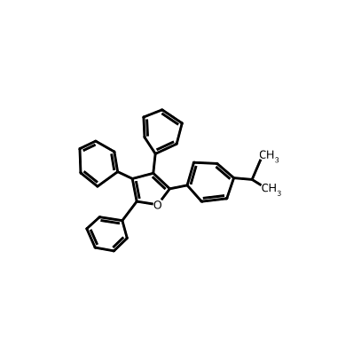 CC(C)c1ccc(-c2oc(-c3ccccc3)c(-c3ccccc3)c2-c2ccccc2)cc1